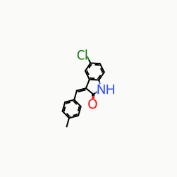 Cc1ccc(/C=C2\C(=O)Nc3ccc(Cl)cc32)cc1